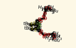 CCCC[SiH2]O[Si](C)(C)O[Si](C)(C)CCCOCCOC(=O)CCC(=O)Oc1ccc(-c2sc(-c3ccc(C(C)(C)C)s3)cc2C2=C(c3cc(-c4ccc(C(C)(C)C)s4)sc3-c3ccc(OC(=O)CCC(=O)OCCOCCC[Si](C)(C)O[Si](C)(C)O[SiH2]CCCC)cc3)C(F)(F)C(F)(F)C2(F)F)cc1